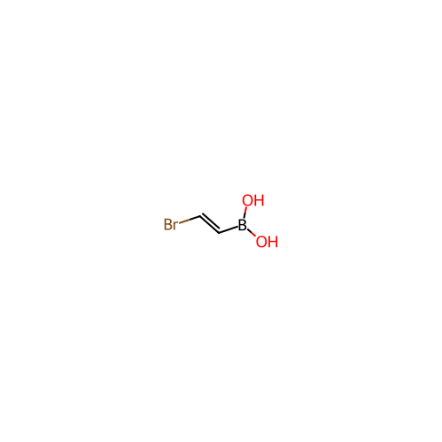 OB(O)/C=C/Br